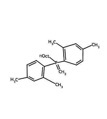 C=P(CCCCCCCC)(c1ccc(C)cc1C)c1ccc(C)cc1C